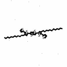 CCCCCCCCCCCCc1cc(-c2cc3sc(-c4cc(CCCCCCCCCCCC)c(-c5cccs5)s4)cc3s2)sc1-c1cccs1